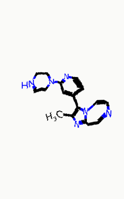 Cc1nc2cnccn2c1-c1ccnc(N2CCNCC2)c1